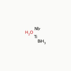 O.[BiH3].[Nb].[Ti]